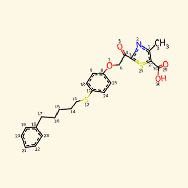 Cc1nc(C(=O)COc2ccc(SCCCCCc3ccccc3)cc2)sc1C(=O)O